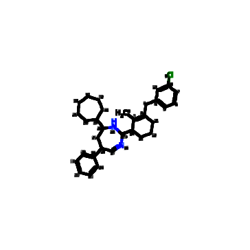 CC1=C(Cc2cccc(Cl)c2)CCCC1C1N=CC(c2ccccc2)CC(C2CCCCCC2)N1